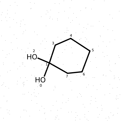 OC1(O)CCCCC1